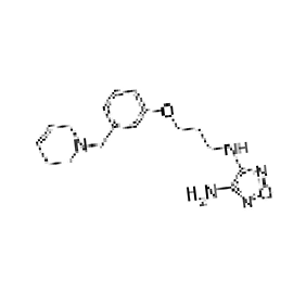 Nc1nonc1NCCCOc1cccc(CN2CC=CCC2)c1